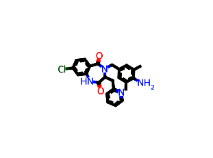 Cc1cc(CN2C(=O)c3ccc(Cl)cc3NC(=O)C2Cc2ccccn2)cc(C)c1N